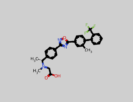 Cc1cc(-c2nc(-c3ccc([C@@H](C)N(C)CC(=O)O)cc3)no2)ccc1-c1ccccc1C(F)(F)F